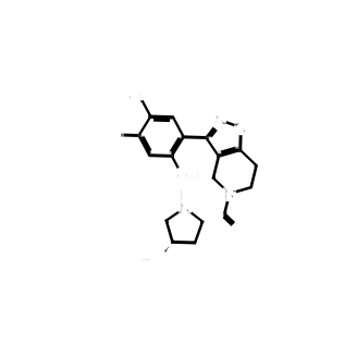 O=C([C@@H]1C[C@@H](O)CN1)N1CCc2[nH]nc(-c3cc(Cl)c(O)cc3O)c2C1